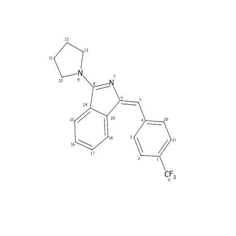 FC(F)(F)c1ccc(/C=C2/N=C(N3CCCC3)c3ccccc32)cc1